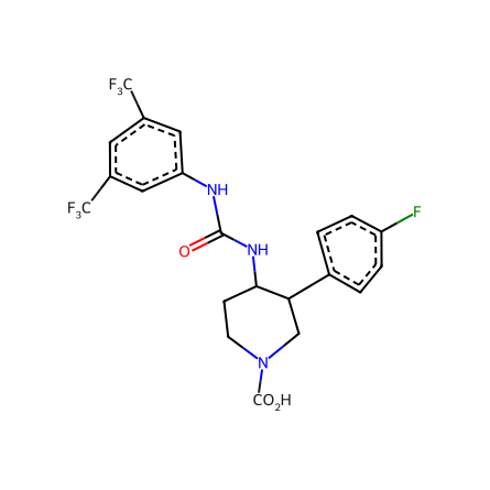 O=C(Nc1cc(C(F)(F)F)cc(C(F)(F)F)c1)NC1CCN(C(=O)O)CC1c1ccc(F)cc1